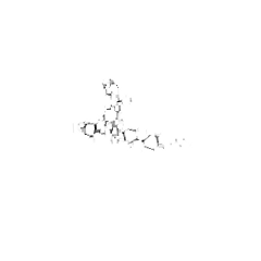 COc1ccc(-c2ccc(S(=O)(=O)N(Cc3ccccc3)C3(C(=O)O)CCN(C(=O)N4CCOCC4)CC3)cc2)cc1